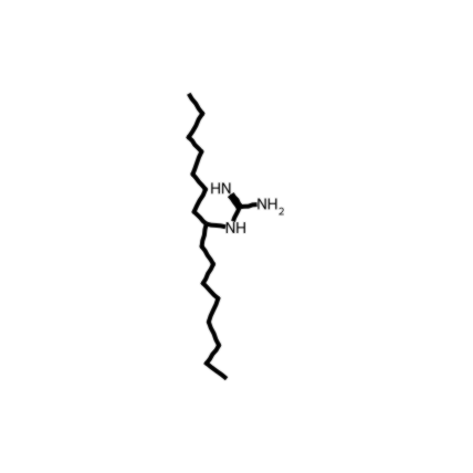 CCCCCCCCC(CCCCCCC)NC(=N)N